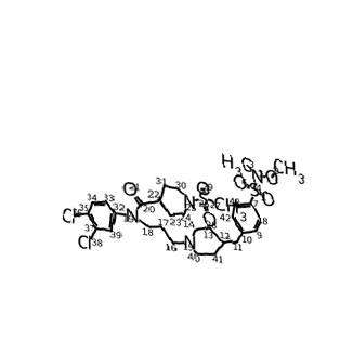 CON(C)S(=O)(=O)c1ccc(CC2CCN(CCCN(C(=O)C3CCN(S(C)(=O)=O)CC3)c3ccc(Cl)c(Cl)c3)CC2)cc1